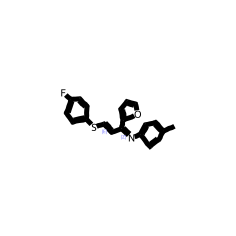 Cc1ccc(/N=C(/C=C/Sc2ccc(F)cc2)c2ccco2)cc1